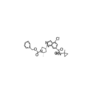 C[C@H]1C[C@@H](n2ncc3c(Cl)cc(S(=O)(=O)NC4(C)CC4)cc32)CN1C(=O)OCc1ccccc1